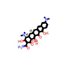 CN(C)c1ccc2c(O)c3c(cc2c1)C[C@H]1C[C@H]2[C@H](N(C)C)C(O)=C(C(N)=O)C(=O)[C@@]2(O)C(O)=C1C3=O